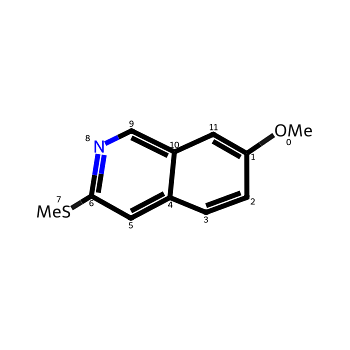 COc1ccc2cc(SC)ncc2c1